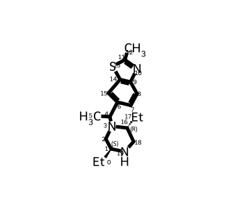 CC[C@H]1CN(C(C)c2ccc3nc(C)sc3c2)[C@H](CC)CN1